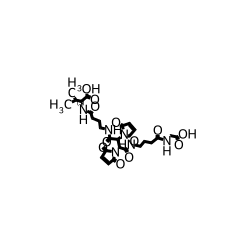 CC(C)[C@H](NC(=O)CCCNC(=O)C(C(C(=O)NCCCC(=O)NCC(=O)O)N1C(=O)C=CC1=O)N1C(=O)C=CC1=O)C(=O)O